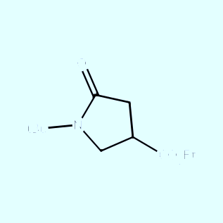 CCOC(=O)C1CC(=O)N(C(C)(C)C)C1